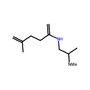 C=C(C)CCC(=C)NCC(C)NC